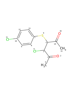 CC(=O)C(Cl)C(Sc1ccc(Cl)cc1)C(C)=O